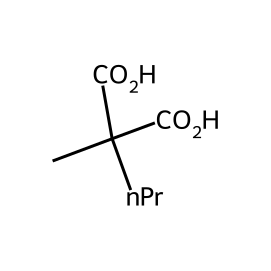 CCCC(C)(C(=O)O)C(=O)O